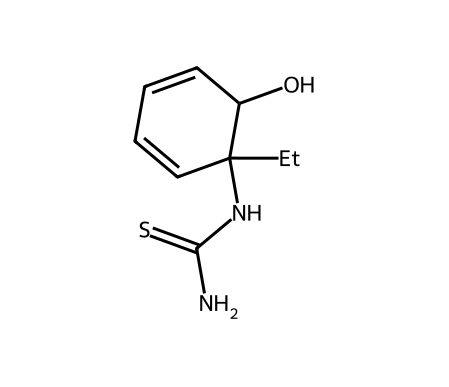 CCC1(NC(N)=S)C=CC=CC1O